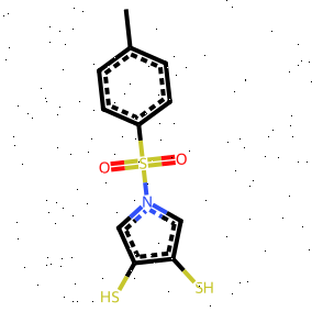 Cc1ccc(S(=O)(=O)n2cc(S)c(S)c2)cc1